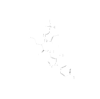 Cc1c(NC(=O)C(CCO)n2nc(C(F)(F)F)c(Cl)c2C)cnn1-c1ccc(F)cc1